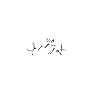 CN(C)C(=O)CCC=C(NC(=O)C1CC1(C)C)C(=O)O